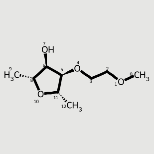 COCCO[C@@H]1[C@H](O)[C@@H](C)O[C@H]1C